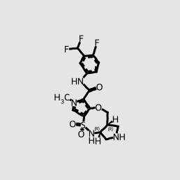 Cn1cc2c(c1C(=O)Nc1ccc(F)c(C(F)F)c1)OC[C@@H]1CNC[C@@H]1NS2(=O)=O